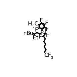 CCCCC(CC)CCP(c1c(F)c(C)c(F)c(F)c1F)C(F)(F)C(F)CCCCCCC(F)(F)F